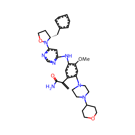 C=C(C(N)=O)c1cc(Nc2cc(N3OCC[C@@H]3Cc3ccccc3)ncn2)c(OC)cc1N1CCN(C2CCOCC2)CC1